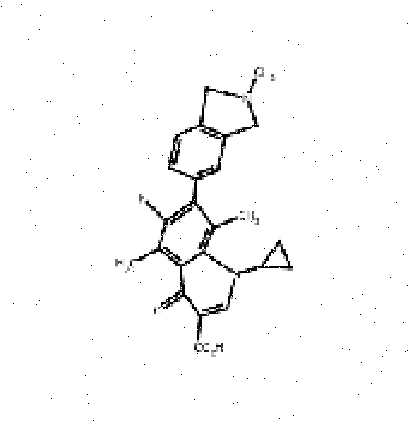 Cc1c(F)c(-c2ccc3c(c2)CN(C)C3)c(C)c2c1c(=O)c(C(=O)O)cn2C1CC1